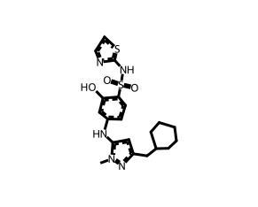 Cn1nc(CC2CCCCC2)cc1Nc1ccc(S(=O)(=O)Nc2nccs2)c(O)c1